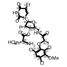 CCc1cn([C@@H]2O[C@@H](CNC(=O)[C@@H](C)Oc3c(Cl)cc(Cl)c(OC)c3Cl)[C@H](OC(=O)[C@H](N)C(C)C)[C@@H]2F)c(=O)[nH]c1=O.Cl